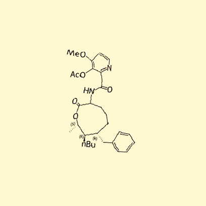 CCCC[C@@H]1[C@@H](Cc2ccccc2)CCCC(NC(=O)c2nccc(OC)c2OC(C)=O)C(=O)O[C@H]1C